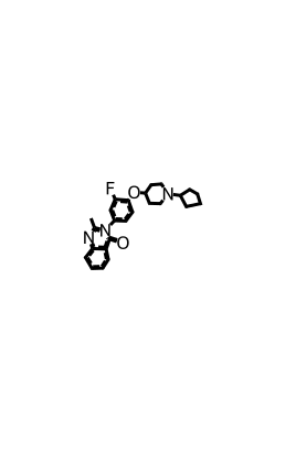 Cc1nc2ccccc2c(=O)n1-c1ccc(OC2CCN(C3CCCC3)CC2)c(F)c1